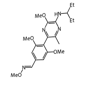 CCC(CC)Nc1nc(C)c(-c2c(OC)cc(C=NOC)cc2OC)nc1OC